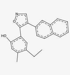 CCc1cc(-c2oncc2-c2ccc3ccccc3c2)c(O)cc1C